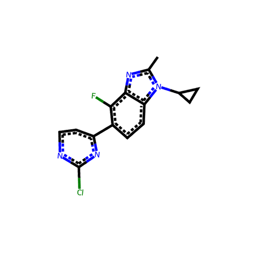 Cc1nc2c(F)c(-c3ccnc(Cl)n3)ccc2n1C1CC1